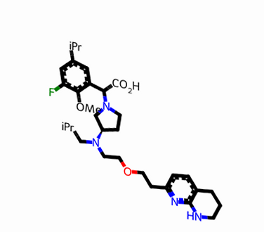 COc1c(F)cc(C(C)C)cc1C(C(=O)O)N1CC[C@@H](N(CCOCCc2ccc3c(n2)NCCC3)CC(C)C)C1